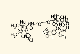 Cc1ncsc1-c1ccc([C@H](C)NC(=O)C2C[C@H](O)CN2C(=O)[C@@H](NC(=O)COCCCOCCNC(=O)CC2N=C(c3ccc(Cl)cc3)c3c(sc(C)c3C)-n3c(C)nnc32)C(C)(C)C)cc1